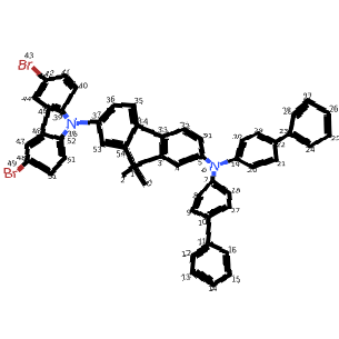 CC1(C)c2cc(N(c3ccc(-c4ccccc4)cc3)c3ccc(-c4ccccc4)cc3)ccc2-c2ccc(-n3c4ccc(Br)cc4c4cc(Br)ccc43)cc21